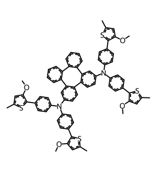 COc1cc(C)sc1-c1ccc(N(c2ccc(-c3sc(C)cc3OC)cc2)c2ccc3c(c2)-c2ccccc2-c2ccccc2-c2cc(N(c4ccc(-c5sc(C)cc5OC)cc4)c4ccc(-c5sc(C)cc5OC)cc4)ccc2-3)cc1